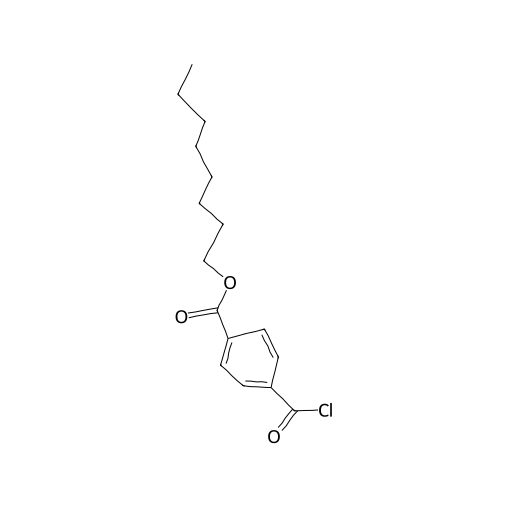 CCCCCCCCOC(=O)c1ccc(C(=O)Cl)cc1